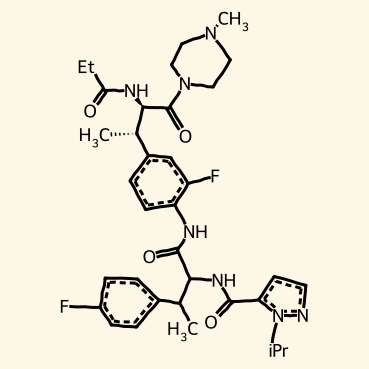 CCC(=O)N[C@@H](C(=O)N1CCN(C)CC1)[C@@H](C)c1ccc(NC(=O)C(NC(=O)c2ccnn2C(C)C)C(C)c2ccc(F)cc2)c(F)c1